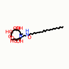 CCC=CCC=CCC=CCC=CCC=CCC=CCCC(=O)NCCCN1C(C)CC[C@@H](O)[C@H](O)C[C@H](O)CC(=O)O[C@](C)(CC)[C@@](C)(O)[C@](C)(O)C1(C)C